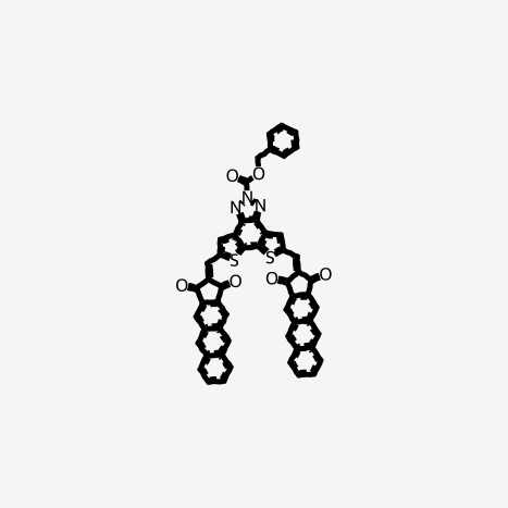 O=C1C(=Cc2cc3c4nn(C(=O)OCc5ccccc5)nc4c4cc(C=C5C(=O)c6cc7cc8ccccc8cc7cc6C5=O)sc4c3s2)C(=O)c2cc3cc4ccccc4cc3cc21